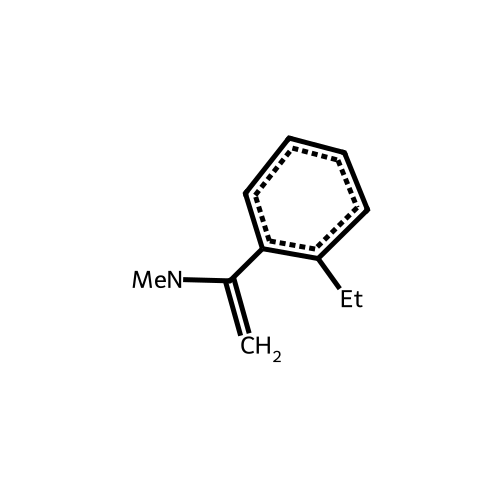 C=C(NC)c1ccccc1CC